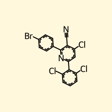 N#Cc1c(Cl)cc(-c2c(Cl)cccc2Cl)nc1-c1ccc(Br)cc1